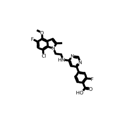 COc1c(F)cc(Cl)c2c1cc(C)n2CCNc1cc(-c2ccc(C(=O)O)c(F)c2)ncn1